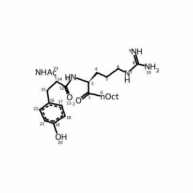 [CH2]CCCCCCCC(=O)[C@H](CCCNC(=N)N)NC(=O)[C@H](Cc1ccc(O)cc1)NC(C)=O